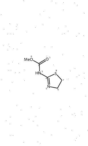 COC(=O)NC1=NCCS1